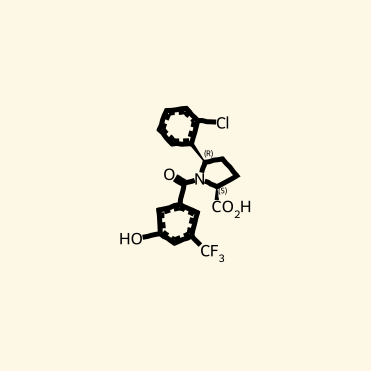 O=C(O)[C@@H]1CC[C@H](c2ccccc2Cl)N1C(=O)c1cc(O)cc(C(F)(F)F)c1